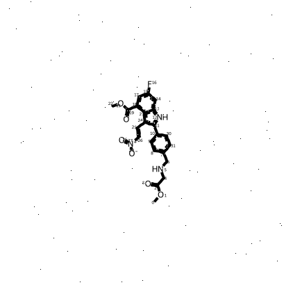 COC(=O)CNCc1ccc(-c2[nH]c3cc(F)cc(C(=O)OC)c3c2/C=C/[N+](=O)[O-])cc1